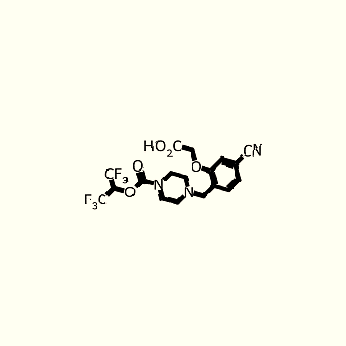 N#Cc1ccc(CN2CCN(C(=O)OC(C(F)(F)F)C(F)(F)F)CC2)c(OCC(=O)O)c1